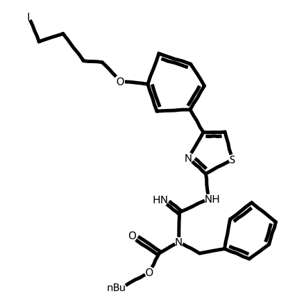 CCCCOC(=O)N(Cc1ccccc1)C(=N)Nc1nc(-c2cccc(OCCCCI)c2)cs1